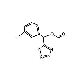 O=[C]OC(c1cccc(F)c1)c1nnn[nH]1